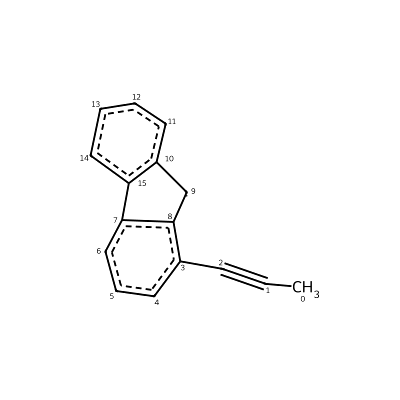 CC#Cc1cccc2c1[CH]c1ccccc1-2